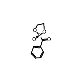 O=C(c1ccccc1)P1(=O)OCCO1